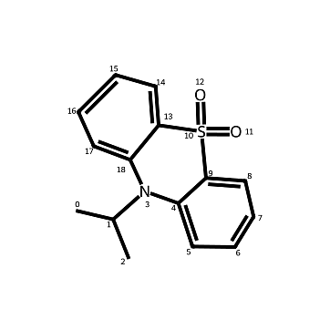 CC(C)N1c2ccccc2S(=O)(=O)c2ccccc21